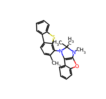 Cc1ccc2c(sc3ccccc32)c1N1c2c(oc3ccccc23)N(C)C1(C)C